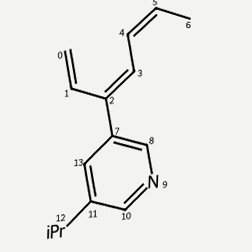 C=C/C(=C\C=C/C)c1cncc(C(C)C)c1